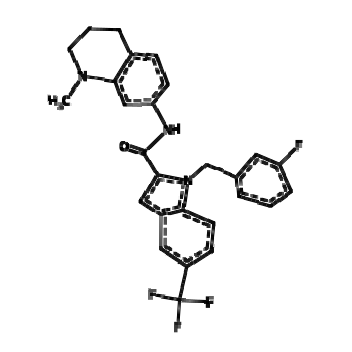 CN1CCCc2ccc(NC(=O)c3cc4cc(C(F)(F)F)ccc4n3Cc3cccc(F)c3)cc21